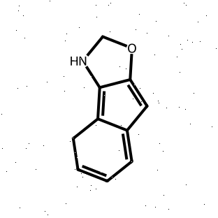 C1=CCC2=C3NCOC3=CC2=C1